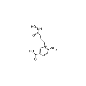 Nc1ccc(C(=O)O)c[n+]1CCCC(=O)NO